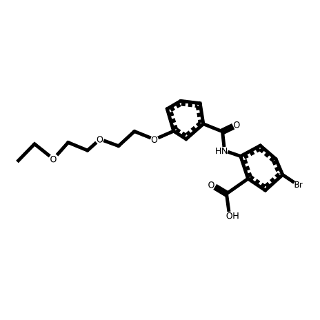 CCOCCOCCOc1cccc(C(=O)Nc2ccc(Br)cc2C(=O)O)c1